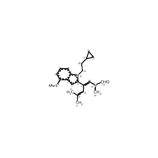 CSc1cccc2c1cc(/C(C=C(C)C)=C/N(C)C=O)n2CCC1CC1